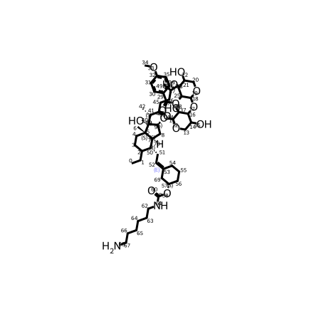 CCC1CC[C@@]2(C)[C@@H](C[C@H](OC3OCC(O)C(OC4OCC(O)C(O)C4OC(=O)c4ccc(OC)cc4)C3O)[C@]2(O)[C@H](C)C(=O)CCC(C)C)[C@@H]1C/C=C1\CCC[C@H](OC(=O)NCCCCCCN)C1